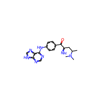 CC(CC(=N)C(=O)c1ccc(Nc2ncnc3[nH]cnc23)cc1)N(C)C